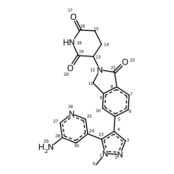 Cn1ncc(-c2ccc3c(c2)CN(C2CCC(=O)NC2=O)C3=O)c1-c1cncc(N)c1